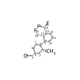 Cc1cc(C=O)ccc1-c1cccc(C(F)F)c1CF